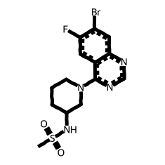 CS(=O)(=O)NC1CCCN(c2ncnc3cc(Br)c(F)cc23)C1